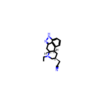 CCN1C[C@H](CC#N)C[C@@H]2c3cccc4[nH]nc(c34)C[C@H]21